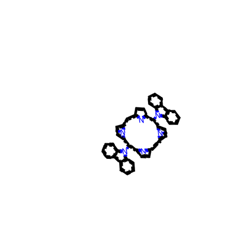 Cn1c2ccc1c(-n1c3ccccc3c3ccccc31)c1nc(cc3ccc(c(-n4c5ccccc5c5ccccc54)c4nc(c2)C=C4)n3C)C=C1